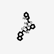 O=C(NC(Cc1ccccc1)C(=O)NNC(=O)c1cc2ccccc2[nH]1)c1ccc2ccccc2c1